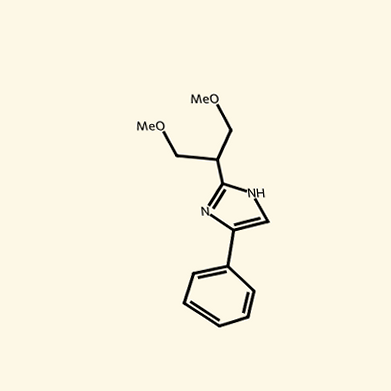 COCC(COC)c1nc(-c2ccccc2)c[nH]1